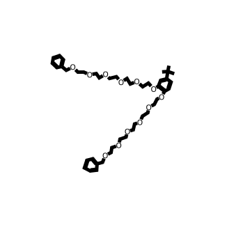 CC(C)(C)c1ccc(OCCOCCOCCOCCOCCOCc2ccccc2)c(OCCOCCOCCOCCOCCOCc2ccccc2)c1